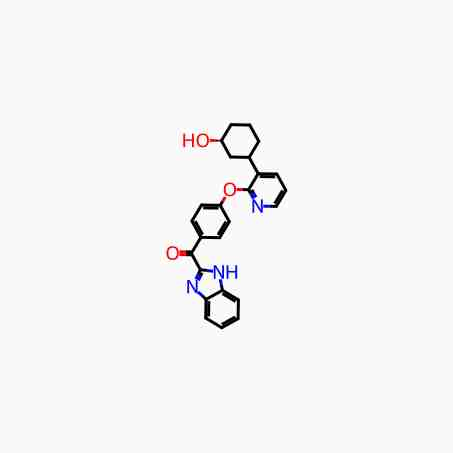 O=C(c1ccc(Oc2ncccc2C2CCC[C@H](O)C2)cc1)c1nc2ccccc2[nH]1